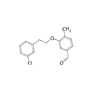 Cc1ccc(C=O)cc1OCCc1cccc(Cl)c1